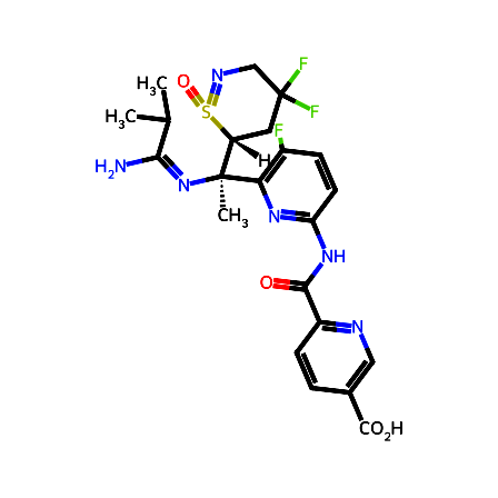 CC1(C)C(N)=N[C@](C)(c2nc(NC(=O)c3ccc(C(=O)O)cn3)ccc2F)[C@H]2CC(F)(F)CN=[S@@]21=O